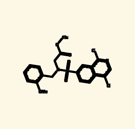 COc1ccccc1CN(CC(=O)OC(C)(C)C)S(=O)(=O)c1ccc2c(Cl)cnc(Cl)c2c1